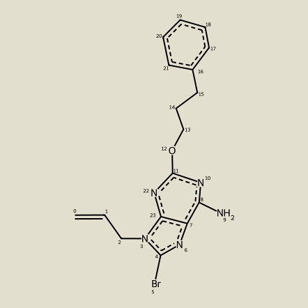 C=CCn1c(Br)nc2c(N)nc(OCCCc3ccccc3)nc21